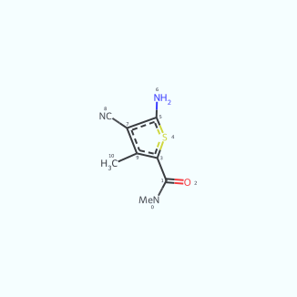 CNC(=O)c1sc(N)c(C#N)c1C